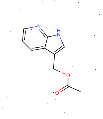 CC(=O)OCc1c[nH]c2ncccc12